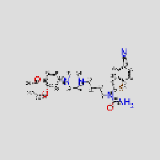 N#Cc1ccc2sc(N(CCCCN3CCN(c4ccc5c(c4)OCCCO5)CC3)C(N)=O)cc2c1